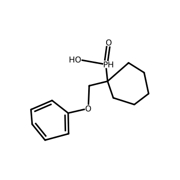 O=[PH](O)C1(COc2ccccc2)CCCCC1